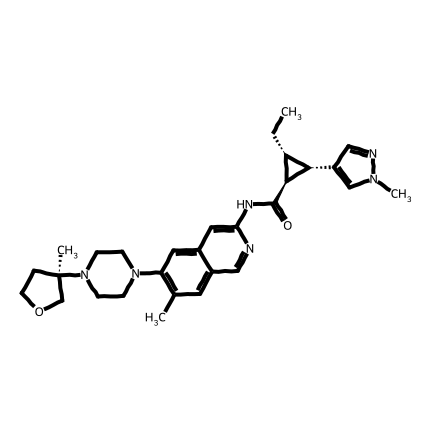 CC[C@H]1[C@H](C(=O)Nc2cc3cc(N4CCN([C@]5(C)CCOC5)CC4)c(C)cc3cn2)[C@H]1c1cnn(C)c1